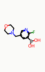 OB(O)c1cc(CN2CCOCC2)cnc1F